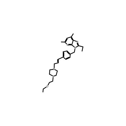 CCOCCN1CCN(C/C=C/c2ccc(Cn3c(CC)nc4c(C)cc(C)nc43)cc2)CC1